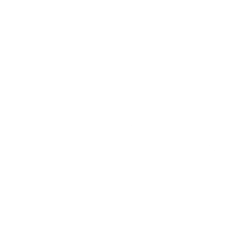 C=C=C=C=C=C=C=C=C=C=C=C=C=C=C=C=O